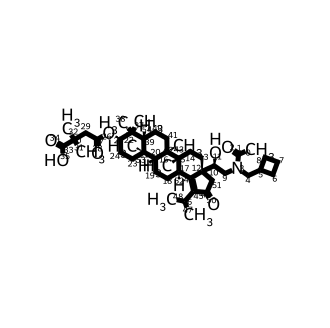 CC(=O)N(CC1CCC1)C[C@H](O)[C@@]12CC[C@]3(C)[C@H](CC[C@@H]4[C@@]5(C)CC[C@H](OC(=O)CC(C)(C)C(=O)O)C(C)(C)[C@@H]5CC[C@]43C)C1=C(C(C)C)C(=O)C2